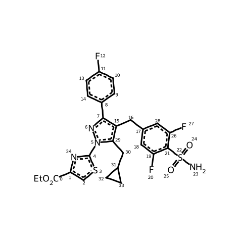 CCOC(=O)c1csc(-n2nc(-c3ccc(F)cc3)c(Cc3cc(F)c(S(N)(=O)=O)c(F)c3)c2CC2CC2)n1